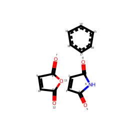 O=C1C=CC(=O)N1.O=C1C=CC(=O)O1.[c]1ccccc1